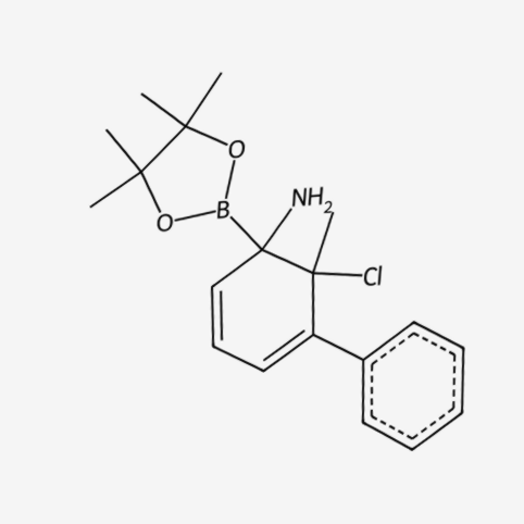 CC1(C)OB(C2(N)C=CC=C(c3ccccc3)C2(C)Cl)OC1(C)C